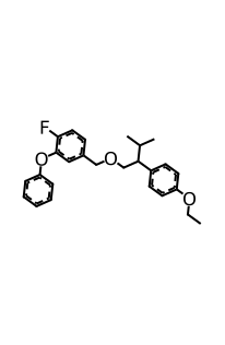 CCOc1ccc(C(COCc2ccc(F)c(Oc3ccccc3)c2)C(C)C)cc1